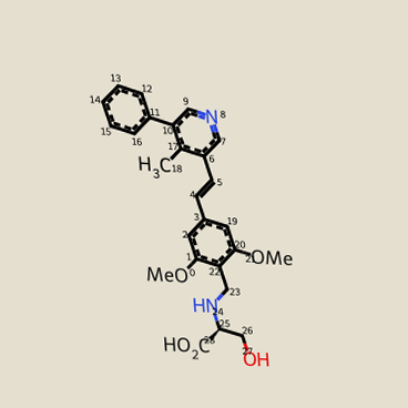 COc1cc(/C=C/c2cncc(-c3ccccc3)c2C)cc(OC)c1CN[C@@H](CO)C(=O)O